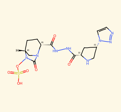 O=C(NNC(=O)[C@H]1CC[C@@H]2CN1C(=O)N2OS(=O)(=O)O)[C@@H]1C[C@H](n2ccnn2)CN1